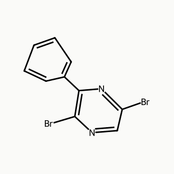 Brc1cnc(Br)c(-c2ccccc2)n1